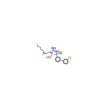 CCCCCN(C)CCN(CO)C(=N)NC(C)(c1cccc(-c2cccc(Cl)c2)c1)C1CC1